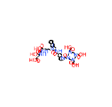 O=C(O)CC[C@H](NC(=O)N[C@@H](CCCCNC(=O)[C@H](Cc1ccc2ccccc2c1)NC(=O)c1ccc2c(c1)CCCN2C(=O)CN1CCN(CC(=O)O)CCN(CC(=O)O)CCN(CC(=O)O)CC1)C(=O)O)C(=O)O